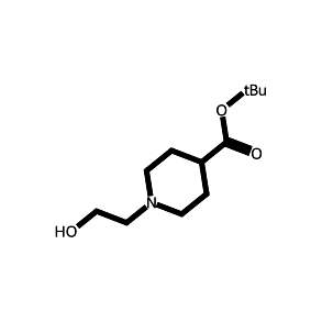 CC(C)(C)OC(=O)C1CCN(CCO)CC1